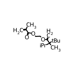 C=C(C)C(=O)OCCOC(=C)C(C)(C(C)C)C(C)(C)C